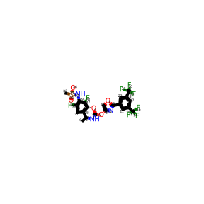 CC(NC(=O)Oc1coc(-c2cc(C(F)(F)F)cc(C(F)(F)F)c2)n1)c1cc(F)c(NS(C)(=O)=O)c(F)c1